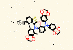 Cc1cc2c(c(C)c1N1c3cccc4c3B(c3cc5c(cc3N4c3ccc4c(c3)OCCO4)OCCO5)c3sc4ccc(C(C)(C)C)cc4c31)OCCO2